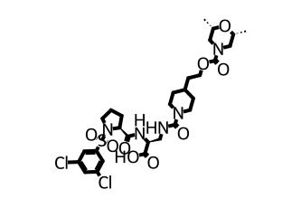 C[C@@H]1CN(C(=O)OCCC2CCN(C(=O)NC[C@H](NC(=O)[C@@H]3CCCN3S(=O)(=O)c3cc(Cl)cc(Cl)c3)C(=O)O)CC2)C[C@H](C)O1